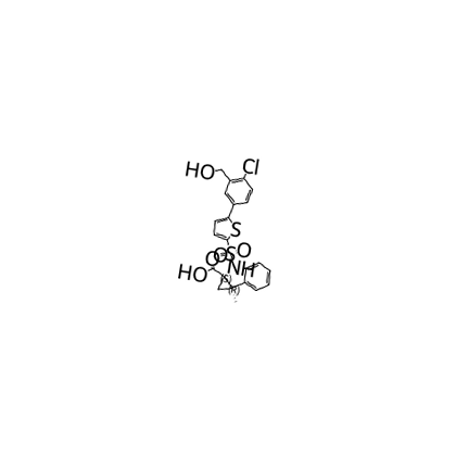 C[C@]1(c2ccccc2)C[C@@]1(NS(=O)(=O)c1ccc(-c2ccc(Cl)c(CO)c2)s1)C(=O)O